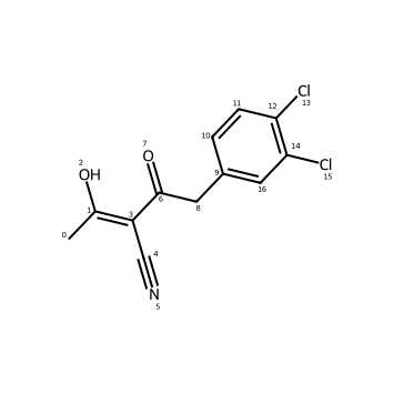 C/C(O)=C(\C#N)C(=O)Cc1ccc(Cl)c(Cl)c1